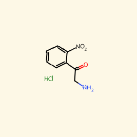 Cl.NCC(=O)c1ccccc1[N+](=O)[O-]